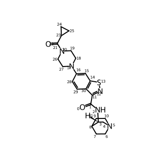 O=C(N[C@@H]1CN2CCC1CC2)c1nsc2cc(N3CCN(C(=O)C4CC4)CC3)ccc12